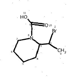 CC(Br)C1CCCCN1C(=O)O